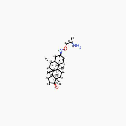 C[C@@H](N)CON=C1CC[C@@]2(C)C(C1)[C@@H](C)C[C@@H]1[C@@H]2CC[C@]2(C)C(=O)CC[C@@H]12